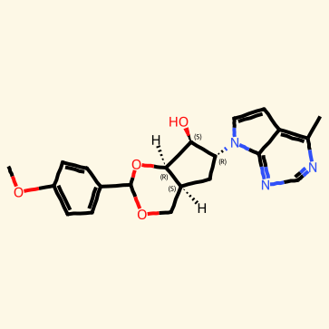 COc1ccc(C2OC[C@@H]3C[C@@H](n4ccc5c(C)ncnc54)[C@H](O)[C@@H]3O2)cc1